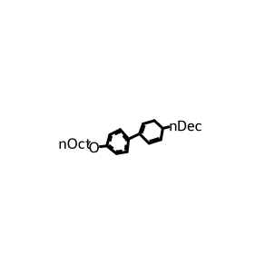 CCCCCCCCCCC1C=CC(c2ccc(OCCCCCCCC)cc2)=CC1